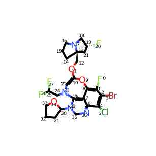 Fc1c(Br)c(Cl)c2c3c1OC(OC[C@@]14CCCN1C[C@H](F)C4)=CN(CC(F)F)C=3N(C1CCCO1)CN=2